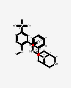 COc1ccc(S(C)(=O)=O)cc1C(=O)NC1CC2CSCC(C1)N2Cc1ccccc1